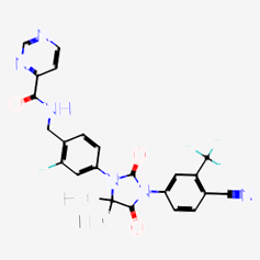 CC1(C)C(=O)N(c2ccc(C#N)c(C(F)(F)F)c2)C(=O)N1c1ccc(CNC(=O)c2ccncn2)c(F)c1